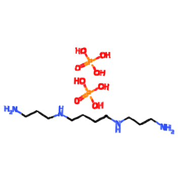 NCCCNCCCCNCCCN.O=P(O)(O)O.O=P(O)(O)O